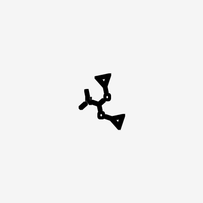 CN(C)C(OC1CC1)OC1CC1